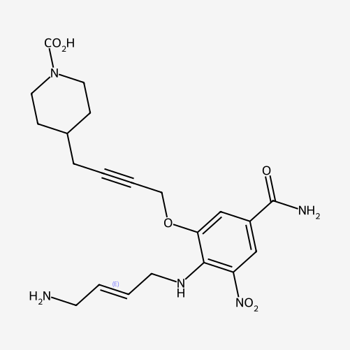 NC/C=C/CNc1c(OCC#CCC2CCN(C(=O)O)CC2)cc(C(N)=O)cc1[N+](=O)[O-]